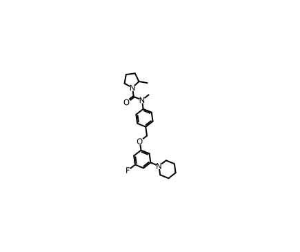 CC1CCCN1C(=O)N(C)c1ccc(COc2cc(F)cc(N3CCCCC3)c2)cc1